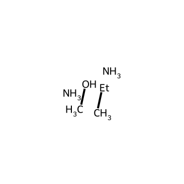 CCC.CO.N.N